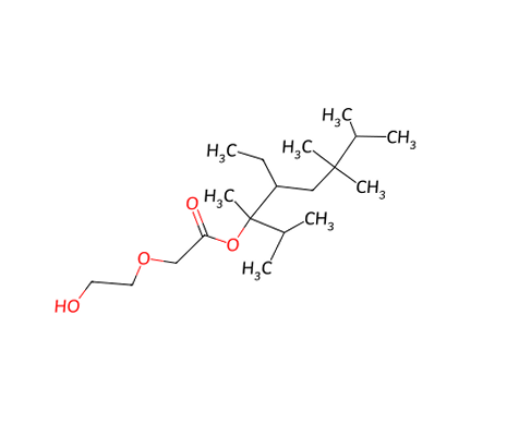 CCC(CC(C)(C)C(C)C)C(C)(OC(=O)COCCO)C(C)C